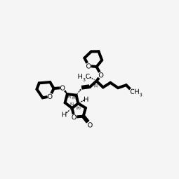 CCCCC[C@@](C)(C=C[C@@H]1[C@H]2CC(=O)O[C@H]2C[C@H]1OC1CCCCO1)OC1CCCCO1